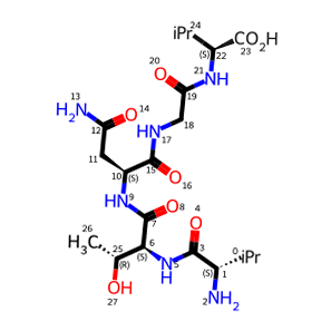 CC(C)[C@H](N)C(=O)N[C@H](C(=O)N[C@@H](CC(N)=O)C(=O)NCC(=O)N[C@H](C(=O)O)C(C)C)[C@@H](C)O